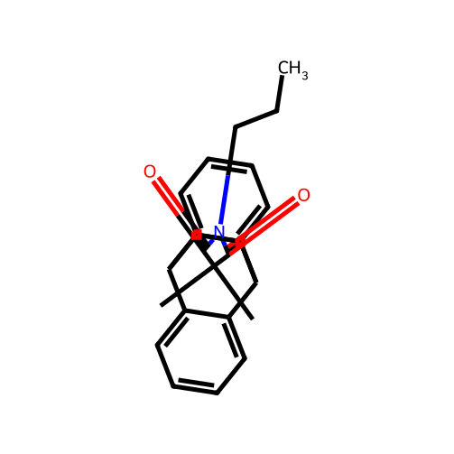 CCCN1C(=O)C2C3c4ccccc4C(c4ccccc43)C2C1=O